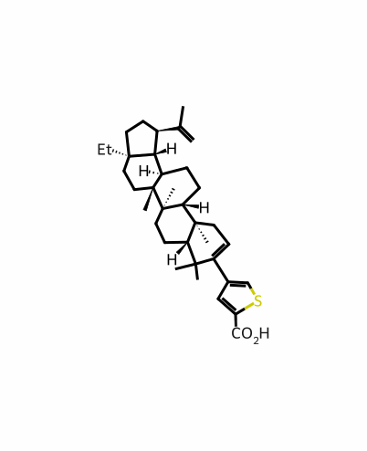 C=C(C)[C@@H]1CC[C@]2(CC)CC[C@]3(C)[C@H](CC[C@@H]4[C@@]5(C)CC=C(c6csc(C(=O)O)c6)C(C)(C)[C@@H]5CC[C@]43C)[C@@H]12